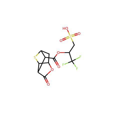 O=C(OC(CS(=O)(=O)O)C(F)(F)F)C1C2CC3OC(=O)C1C3S2